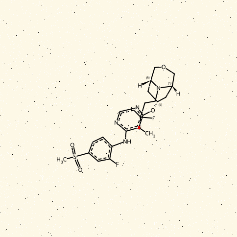 Cc1c(Nc2ccc(S(C)(=O)=O)cc2F)ncnc1O[C@H]1C[C@H]2COC[C@@H](C1)N2CCC(F)(F)F